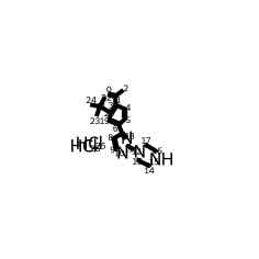 C=C(C)c1ccc(-c2ccnc(N3CCNCC3)n2)cc1C(C)(C)C.Cl.Cl